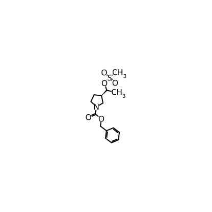 CC(OS(C)(=O)=O)[C@@H]1CCN(C(=O)OCc2ccccc2)C1